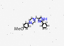 COc1ccc(N2CCN(Cc3c[nH]c(-c4ccccc4)n3)CC2)cc1